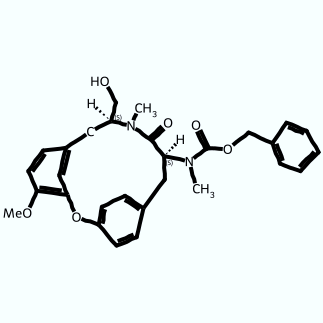 COc1ccc2cc1Oc1ccc(cc1)C[C@H](N(C)C(=O)OCc1ccccc1)C(=O)N(C)[C@H](CO)C2